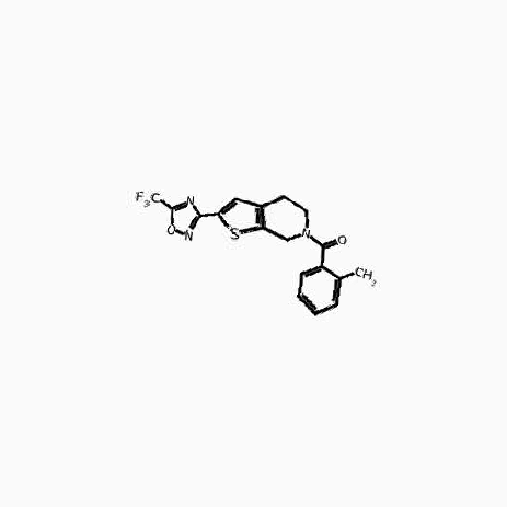 Cc1ccccc1C(=O)N1CCc2cc(-c3noc(C(F)(F)F)n3)sc2C1